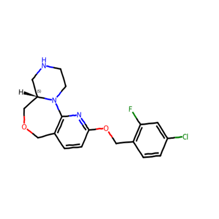 Fc1cc(Cl)ccc1COc1ccc2c(n1)N1CCNC[C@H]1COC2